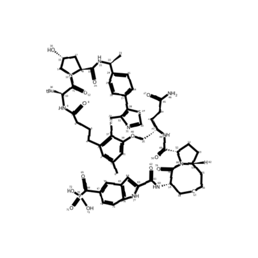 Cc1cc(CCCC(=O)N[C@H](C(=O)N2C[C@H](O)C[C@H]2C(=O)N[C@@H](C)c2ccc(-c3scnc3C)cc2)C(C)(C)C)c(F)c(OC[C@H](CCC(N)=O)NC(=O)[C@@H]2CC[C@@H]3CCCC[C@H](NC(=O)c4cc5cc(C(=O)P(=O)(O)O)ccc5[nH]4)C(=O)N32)c1